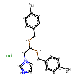 Cl.N#Cc1ccc(CSC(Cn2ccnc2)SCc2ccc(C#N)cc2)cc1